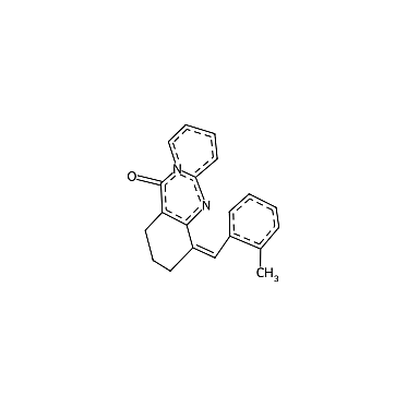 Cc1ccccc1/C=C1/CCCc2c1nc1ccccn1c2=O